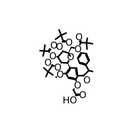 COc1cc(OCC(=O)O)c(C(=O)C(C)c2ccccc2)cc1[C@@H]1O[C@H](COC(=O)C(C)(C)C)[C@@H](OC(=O)C(C)(C)C)[C@H](OC(=O)C(C)(C)C)[C@H]1OC(=O)C(C)(C)C